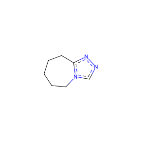 c1nnc2n1CCCCC2